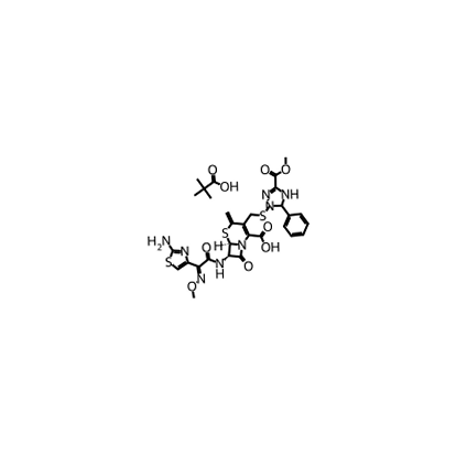 C=C1S[C@@H]2[C@H](NC(=O)C(=NOC)c3csc(N)n3)C(=O)N2C(C(=O)O)=C1CSN1N=C(C(=O)OC)NC1c1ccccc1.CC(C)(C)C(=O)O